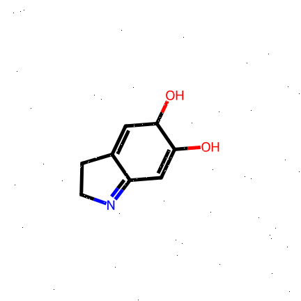 OC1=CC2=NCCC2=CC1O